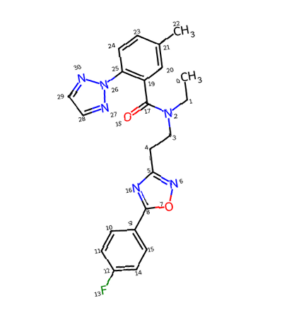 CCN(CCc1noc(-c2ccc(F)cc2)n1)C(=O)c1cc(C)ccc1-n1nccn1